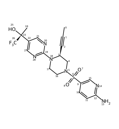 CC#C[C@H]1CN(S(=O)(=O)c2ccc(N)nc2)CCN1c1ncc([C@@](C)(O)C(F)(F)F)cn1